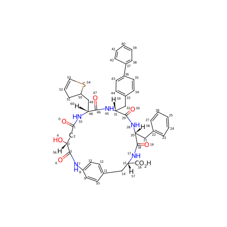 O=C1C[C@@H](O)C(=O)Nc2ccc(cc2)C[C@@H](C(=O)O)NC(=O)[C@@H](Cc2ccccc2)NC(=O)[C@@H](Cc2ccc(-c3ccccc3)cc2)NC(=O)[C@@H](CC2CC=CS2)N1